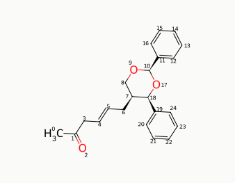 CC(=O)C/C=C/C[C@H]1CO[C@@H](c2ccccc2)O[C@H]1c1ccccc1